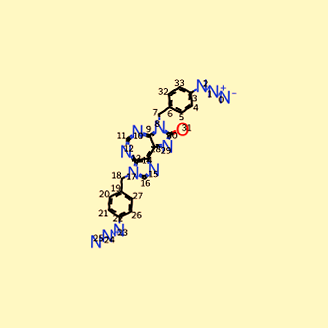 [N-]=[N+]=Nc1ccc(Cn2c3ncnc4c(ncn4Cc4ccc(N=[N+]=[N-])cc4)c-3nc2=O)cc1